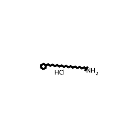 CC(C)(N)CCCCCCCCCCCCCCCCCC1CCCCC1.Cl